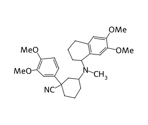 COc1ccc(C2(C#N)CCCC(N(C)C3CCCc4cc(OC)c(OC)cc43)C2)cc1OC